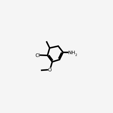 COC1=C(Cl)C(C)CC(N)=C1